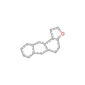 c1ccc2cc3c(ccc4occc43)cc2c1